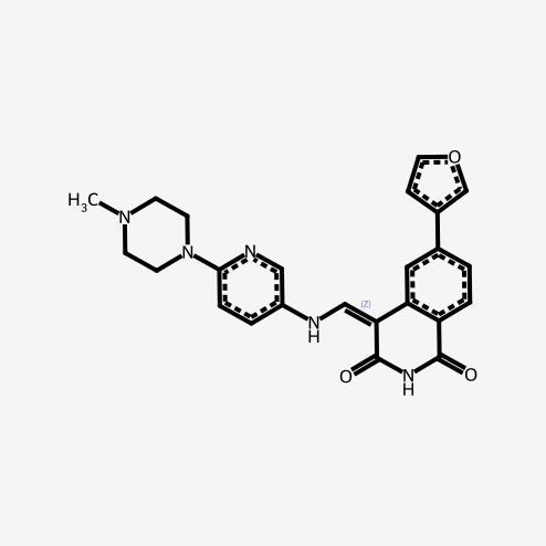 CN1CCN(c2ccc(N/C=C3\C(=O)NC(=O)c4ccc(-c5ccoc5)cc43)cn2)CC1